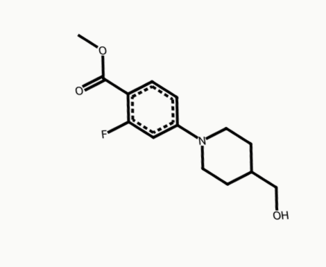 COC(=O)c1ccc(N2CCC(CO)CC2)cc1F